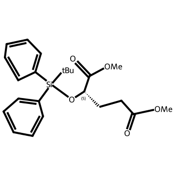 COC(=O)CC[C@H](O[Si](c1ccccc1)(c1ccccc1)C(C)(C)C)C(=O)OC